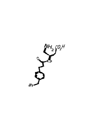 CC(C)Cc1ccc(CCC(=O)O[C@@H](CN)CC(=O)O)cc1